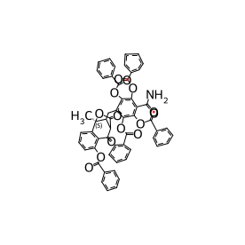 C[C@@]12OC(=O)C(C(=O)c3c(OC(=O)c4ccccc4)cccc31)C2Cc1c(OC(=O)c2ccccc2)c(OC(=O)c2ccccc2)c(C(N)=O)c(OC(=O)c2ccccc2)c1OC(=O)c1ccccc1